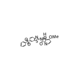 COc1ccnc(C(=O)Nc2nc3ccc(S(=O)(=O)c4ccccc4)cc3s2)c1O